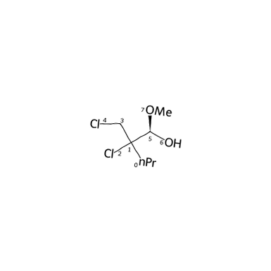 CCCC(Cl)(CCl)[C@H](O)OC